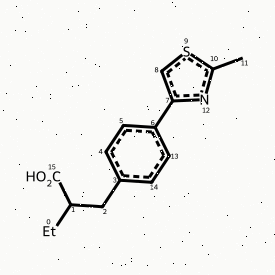 CCC(Cc1ccc(-c2csc(C)n2)cc1)C(=O)O